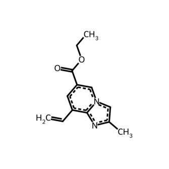 C=Cc1cc(C(=O)OCC)cn2cc(C)nc12